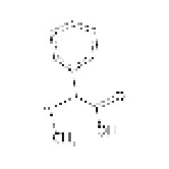 C[CH]C(C(=O)O)c1ccccc1